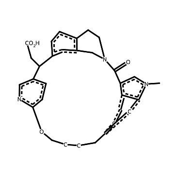 Cn1cc2c3ccc(cc31)CCCCOc1ccc(cn1)C(CC(=O)O)c1ccc3c(c1)CN(CC3)C2=O